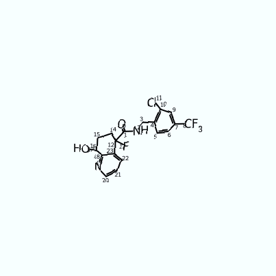 O=C(NCc1ccc(C(F)(F)F)cc1Cl)C1(F)CCC(O)c2ncccc21